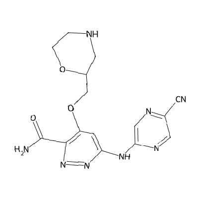 N#Cc1cnc(Nc2cc(OCC3CNCCO3)c(C(N)=O)nn2)cn1